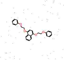 c1ccc(OCCOc2ccc(OCCOc3ccccc3)c3ccccc23)cc1